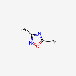 CCCc1noc(C(C)C)n1